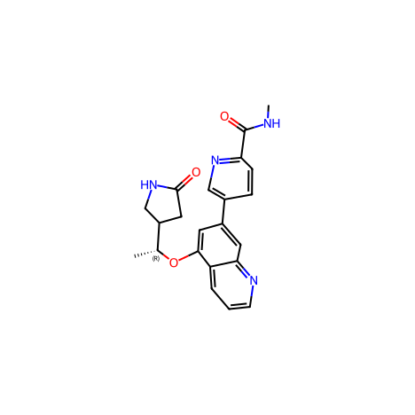 CNC(=O)c1ccc(-c2cc(O[C@H](C)C3CNC(=O)C3)c3cccnc3c2)cn1